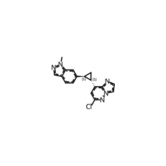 Cn1ncc2ccc([C@H]3C[C@@H]3c3cc(Cl)nn4ccnc34)cc21